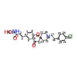 O=C(/C=C/c1ccc2c(c1)C(=O)CC1(CCN(CCc3ccc(Cl)cc3)CC1)O2)NO